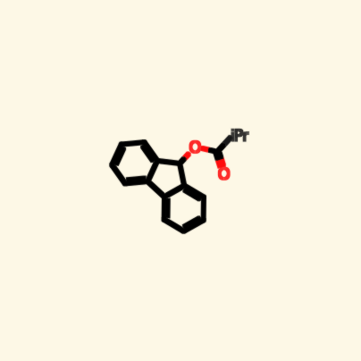 CC(C)C(=O)OC1c2ccccc2-c2ccccc21